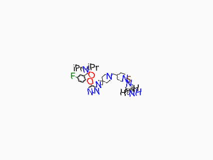 CC(C)N(C(=O)c1cc(F)ccc1Oc1cncnc1N1CC2(CCN(CC3CCN(SN4C[C@@H]5CN[C@@H]5C4)CC3)CC2)C1)C(C)C